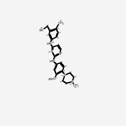 COc1cc(Nc2nccc(Nc3ccc(C)c(CC#N)c3)n2)ccc1N1CCN(C)CC1